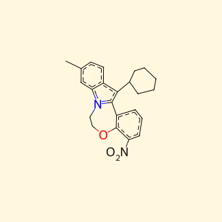 Cc1ccc2c(C3CCCCC3)c3n(c2c1)CCOc1c-3cccc1[N+](=O)[O-]